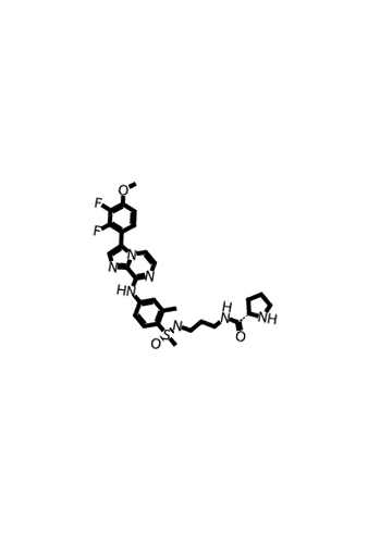 COc1ccc(-c2cnc3c(Nc4ccc(S(C)(=O)=NCCCNC(=O)[C@@H]5CCCN5)c(C)c4)nccn23)c(F)c1F